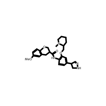 COc1ccc2c(c1)CC(C(=O)Nc1ccc(C3C=NNC3)cc1OCC1CCCCN1C)CO2